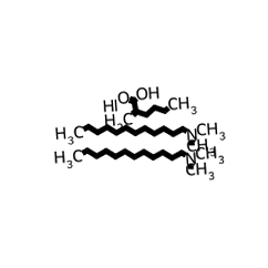 C=C(CCCC)C(=O)O.CCCCCCCCCCCCN(C)C.CCCCCCCCCCCCN(C)C.I